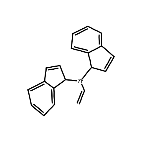 C=[CH][Zr]([CH]1C=Cc2ccccc21)[CH]1C=Cc2ccccc21